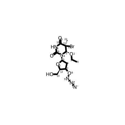 CCO[C@@H]1N([C@H]2CC(ON=[N+]=[N-])[C@@H](CO)O2)C(=O)NC(=O)[C@@]1(C)Br